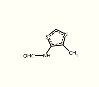 Cc1ncsc1NC=O